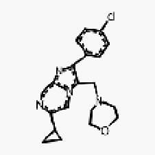 Clc1ccc(-c2nc3cnc(C4CC4)cn3c2CN2CCOCC2)cc1